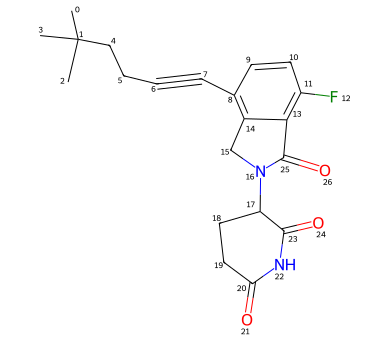 CC(C)(C)CCC#Cc1ccc(F)c2c1CN(C1CCC(=O)NC1=O)C2=O